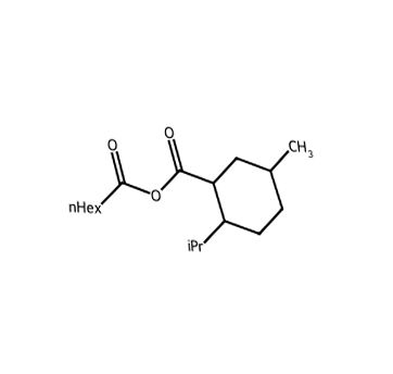 CCCCCCC(=O)OC(=O)C1CC(C)CCC1C(C)C